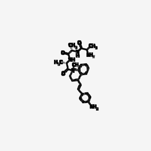 CC(N)C(=O)N[C@@H](C)C(=O)N[C@@H](C)C(=O)[N+]1(C)CC=C(/C=C/c2ccc(N)cc2)c2ccccc21